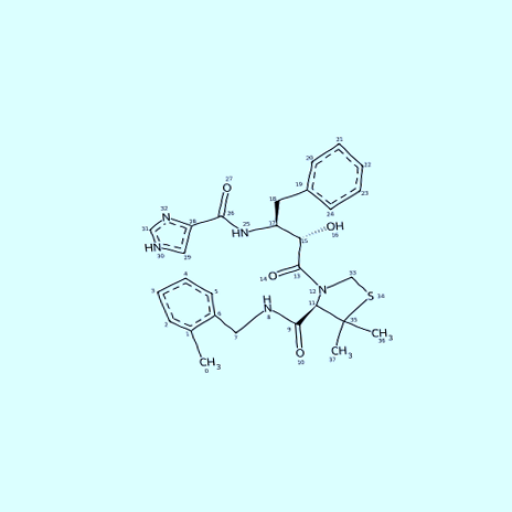 Cc1ccccc1CNC(=O)[C@H]1N(C(=O)[C@@H](O)[C@H](Cc2ccccc2)NC(=O)c2c[nH]cn2)CSC1(C)C